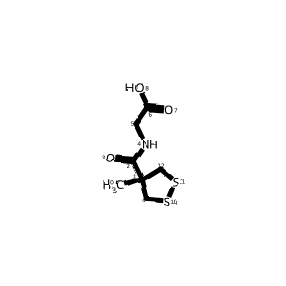 CC1(C(=O)NCC(=O)O)CSSC1